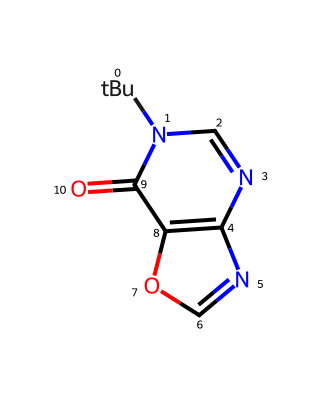 CC(C)(C)n1cnc2ncoc2c1=O